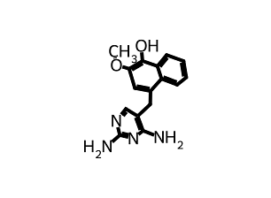 COc1cc(Cc2cnc(N)nc2N)c2ccccc2c1O